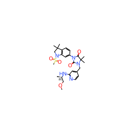 COC[C@@H](C)Nc1cc(CN2C(=O)N(c3ccc4c(c3)N(S(C)(=O)=O)CC4(C)C)C(=O)C2(C)C)ccn1